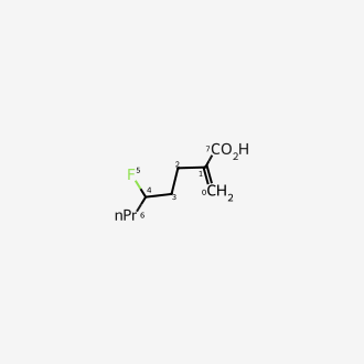 C=C(CCC(F)CCC)C(=O)O